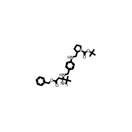 CC(C)(C)OC(=O)N1CCCC1CNc1ccc(CN[C@@](N)(CC(=O)OCc2ccccc2)C(C)(C)C)cc1